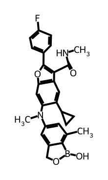 CNC(=O)c1c(-c2ccc(F)cc2)oc2cc(N(C)c3cc(C)c4c(c3)COB4O)c(C3CC3)cc12